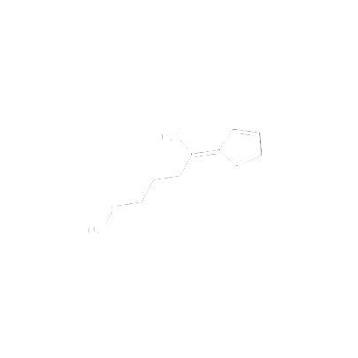 COCCCC(C)=C1C=CC=C1